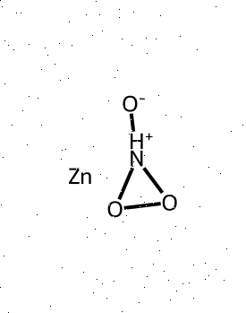 [O-][NH+]1OO1.[Zn]